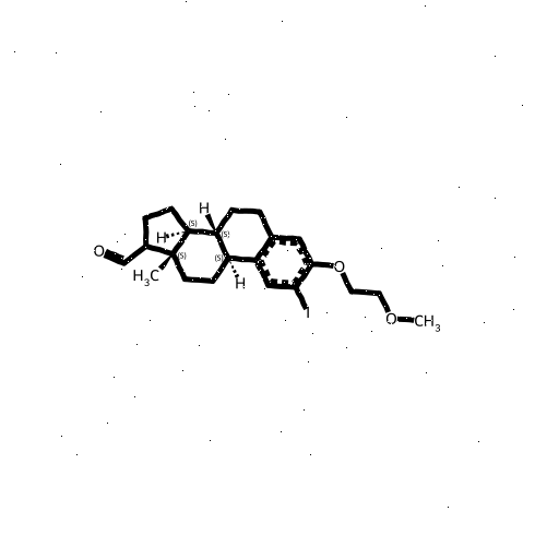 COCCOc1cc2c(cc1I)[C@H]1CC[C@]3(C)C(C=O)CC[C@H]3[C@@H]1CC2